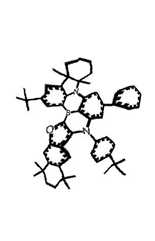 CC(C)(C)c1ccc(N2c3cc(-c4ccccc4)cc4c3B(c3cc(C(C)(C)C)cc5c3N4C3(C)CCCCC53C)c3oc4cc5c(cc4c32)C(C)(C)CCC5(C)C)cc1